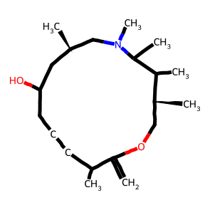 C=C1OC[C@H](C)C(C)C(C)N(C)C[C@H](C)CC(O)CCCC1C